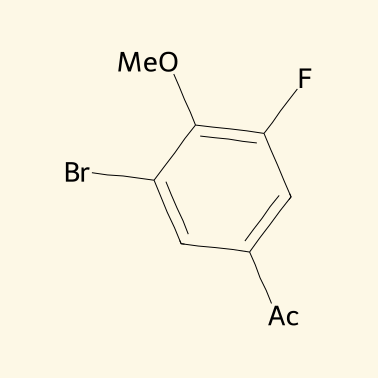 COc1c(F)cc(C(C)=O)cc1Br